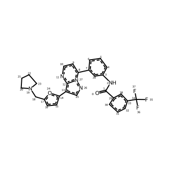 O=C(Nc1cccc(-c2ccnc3c(-c4ccc(CN5CCCC5)o4)cnn23)c1)c1cccc(C(F)(F)F)c1